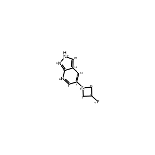 FC1CN(c2cnc3n[nH]cc3c2)C1